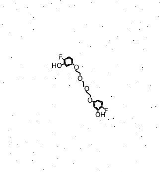 Oc1cc(OCCOCCOCCOc2ccc(F)c(O)c2)ccc1F